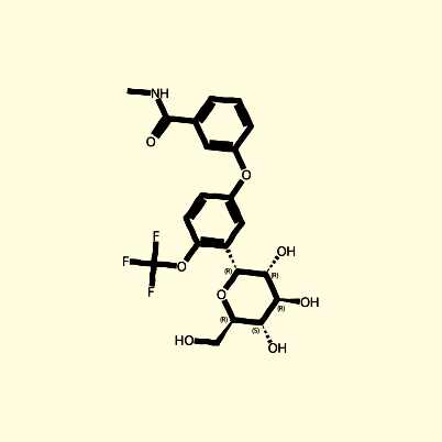 CNC(=O)c1cccc(Oc2ccc(OC(F)(F)F)c([C@H]3O[C@H](CO)[C@@H](O)[C@H](O)[C@H]3O)c2)c1